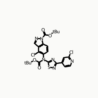 CC(C)(C)OC(=O)N(c1nc(-c2ccnc(Cl)c2)ns1)c1ccc2c(cnn2C(=O)OC(C)(C)C)c1Cl